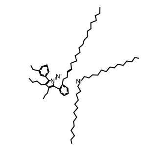 CCCCCCCCCCCCCCCC=CCCc1ccccc1C1=C(CCC)C(CCCC)=C(c2cccc(CC)c2)[N+]1=[N-].CCCCCCCCCCCCC[CH2][Ni][CH2]CCCCCCCCCCCCC